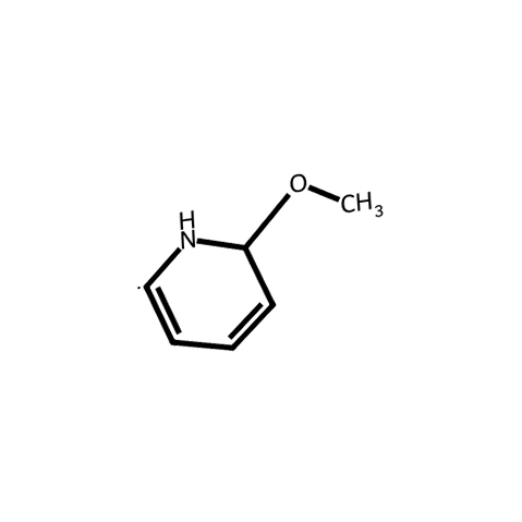 COC1C=CC=[C]N1